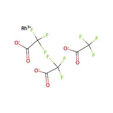 O=C([O-])C(F)(F)F.O=C([O-])C(F)(F)F.O=C([O-])C(F)(F)F.[Rh+3]